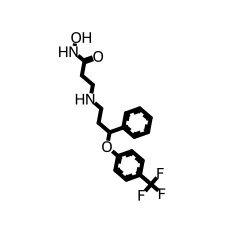 O=C(CCNCCC(Oc1ccc(C(F)(F)F)cc1)c1ccccc1)NO